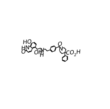 O=C(c1ccc(CCNC[C@H](O)c2ccc(O)c3[nH]c(=O)ccc23)cc1)N1CCC(C(=O)O)(c2ccccc2)CC1